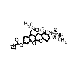 CNS(=O)(=O)Nc1cccc(Cc2c(CN(C)C)c3ccc(OC(=O)N4CCC4)cc3oc2=O)c1F